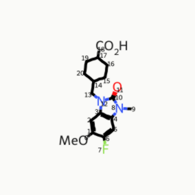 COc1cc2c(cc1F)n(C)c(=O)n2CC1CCC(C(=O)O)CC1